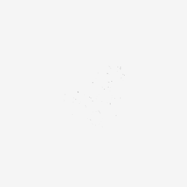 C[C@@H]1C(=O)NN=C2COc3cc(-c4ccccc4F)c(N4C[C@H](C)N(C)C[C@@H]4C)cc3N21